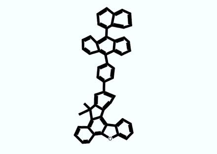 CC1(C)c2cc(-c3ccc(-c4c5ccccc5c(-c5cccc6ccccc56)c5ccccc45)cc3)ccc2-c2c1c1ccccc1c1oc3ccccc3c21